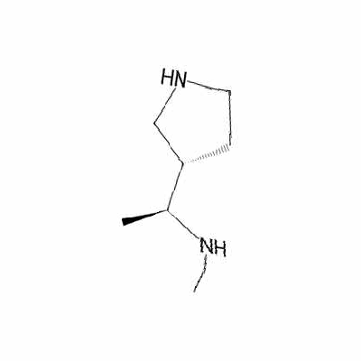 CN[C@@H](C)[C@H]1CCNC1